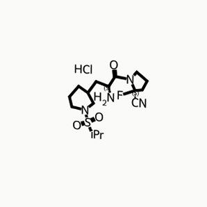 CC(C)S(=O)(=O)N1CCCC(C[C@H](N)C(=O)N2CCC[C@]2(F)C#N)C1.Cl